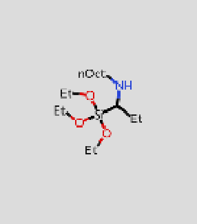 CCCCCCCCNC(CC)[Si](OCC)(OCC)OCC